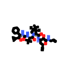 C#CCCC(NC(=O)[C@@H]1[C@@H]2[C@H](CN1C(=O)[C@@H](NC(=O)N[C@H](C(=O)C1CC1)C1CCCCC1)C(C)(C)C)C2(C)C)C(=O)C(=O)NCC=C